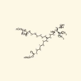 CCCCCCCCCOC(=O)CCCCCCCN(CCCCCCCC(=O)OC(CCCCCCCC)CCCCCCCC)CCCN/C(=C/NO)N(C)C